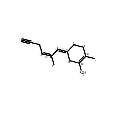 C#CC/C=C(C)\C=C1\CCC(C)=C(O)C1